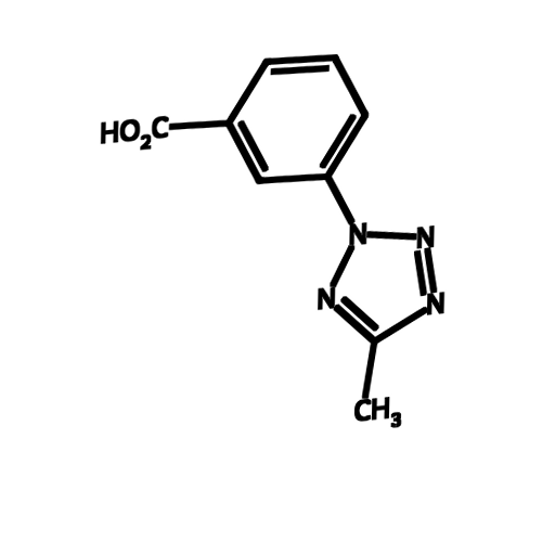 Cc1nnn(-c2cccc(C(=O)O)c2)n1